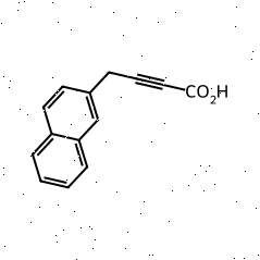 O=C(O)C#CCc1ccc2ccccc2c1